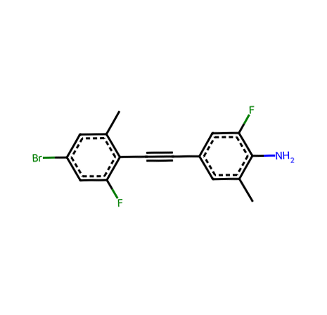 Cc1cc(C#Cc2c(C)cc(Br)cc2F)cc(F)c1N